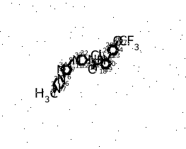 CN1CCN(c2ccc(CN3CCC(NC(=O)c4cccc(-c5ccc(OC(F)(F)F)cc5)c4Cl)CC3)cn2)CC1